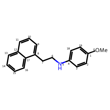 COc1ccc(NCCc2cccc3ccccc23)cc1